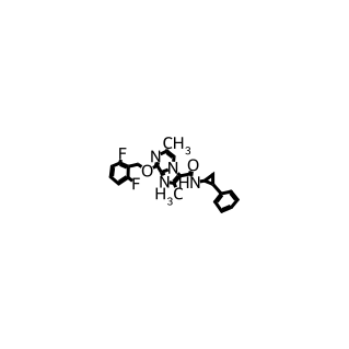 Cc1cn2c(C(=O)NC3CC3c3ccccc3)c(C)nc2c(OCc2c(F)cccc2F)n1